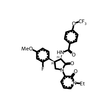 CCn1cccc(N2C[C@@H](c3ccc(OC)cc3F)[C@H](NC(=O)c3ccc(OC(F)(F)F)cc3)C2=O)c1=O